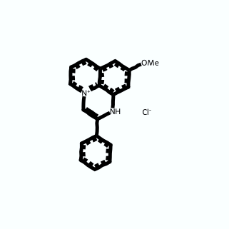 COc1cc2c3c(ccc[n+]3C=C(c3ccccc3)N2)c1.[Cl-]